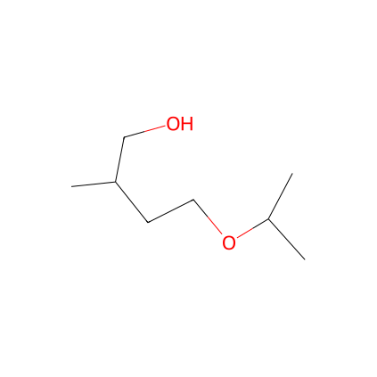 CC(CO)CCOC(C)C